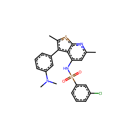 Cc1cc(NS(=O)(=O)c2cccc(Cl)c2)c2c(-c3cccc(N(C)C)c3)c(C)sc2n1